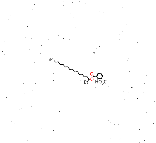 CCC(CCCCCCCCCCCCCCC(C)C)OC(=O)c1ccccc1C(=O)O